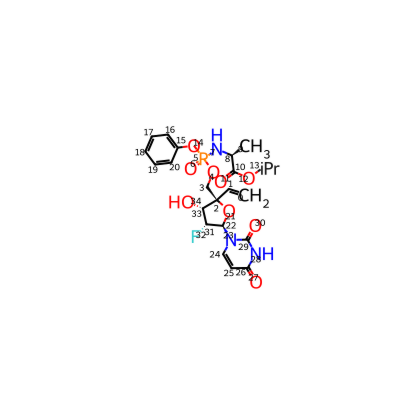 C=C[C@]1(COP(=O)(N[C@@H](C)C(=O)OC(C)C)Oc2ccccc2)O[C@@H](n2ccc(=O)[nH]c2=O)[C@H](F)[C@@H]1O